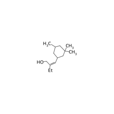 CCC(=CC1CC(C)CC(C)(C)C1)CO